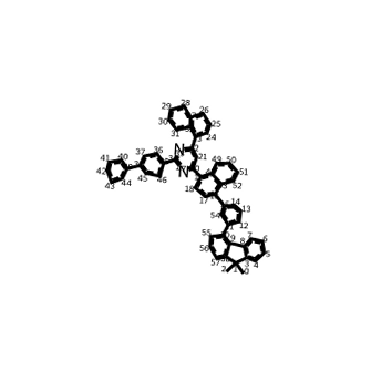 CC1(C)c2ccccc2-c2c(-c3cccc(-c4ccc(-c5cc(-c6cccc7ccccc67)nc(-c6ccc(-c7ccccc7)cc6)n5)c5ccccc45)c3)cccc21